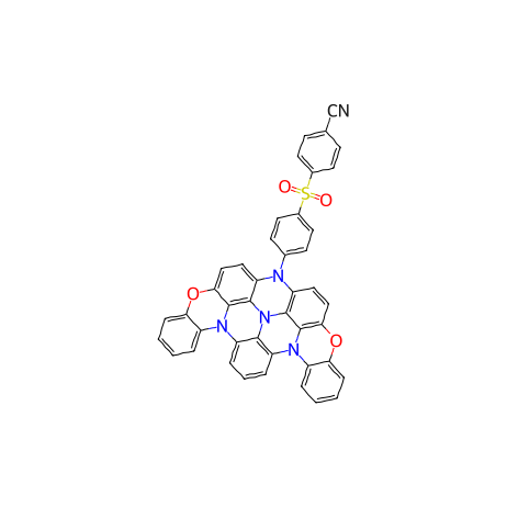 N#Cc1ccc(S(=O)(=O)c2ccc(-n3c4ccc5oc6ccccc6n6c7cccc8c7n(c4c56)c4c3ccc3oc5ccccc5n8c34)cc2)cc1